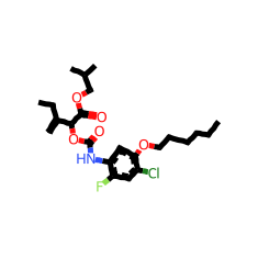 C=C(CC)C(OC(=O)Nc1cc(OCCCCCC)c(Cl)cc1F)C(=O)OCC(C)C